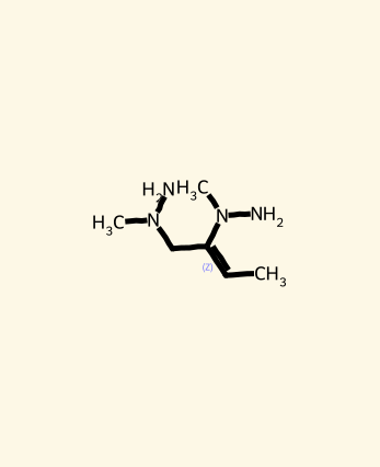 C/C=C(/CN(C)N)N(C)N